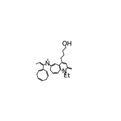 C=C1C=C(CCCCO)C2=C(C=CCC(N(C)C(=C/C)/C3=C/C/C=C\C/C=C\3)=C2)N1CC